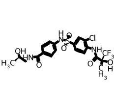 C[C@@H](O)CNC(=O)c1ccc(NS(=O)(=O)c2ccc(NC(=O)[C@@](C)(O)C(F)(F)F)c(Cl)c2)cc1